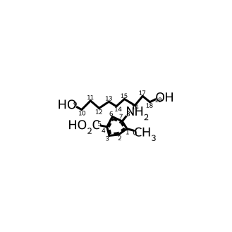 Cc1ccc(C(=O)O)cc1N.OCCCCCCCCCO